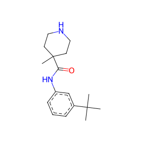 CC1(C(=O)Nc2cccc(C(C)(C)C)c2)CCNCC1